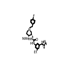 CCc1cc(NC(=O)NC[C@H]2CN(CCc3ccc(F)cc3)CC[C@@H]2NC)cc(-c2nnnn2C)c1